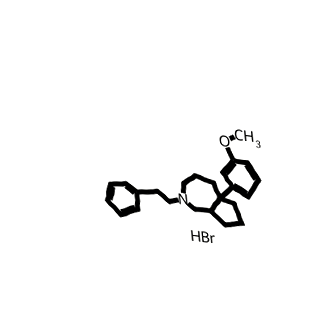 Br.COc1cccc(C23CCCC2CN(CCc2ccccc2)CCC3)c1